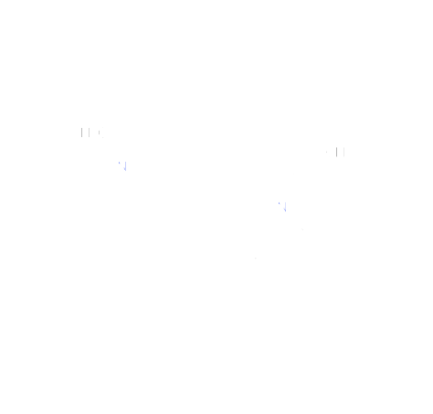 CC(CC1CC2CCN(C)C2C1)N1CC2CCC1C2